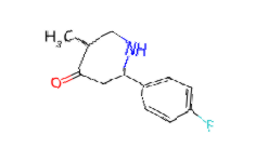 CC1CNC(c2ccc(F)cc2)CC1=O